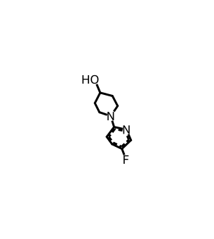 OC1CCN(c2ccc(F)cn2)CC1